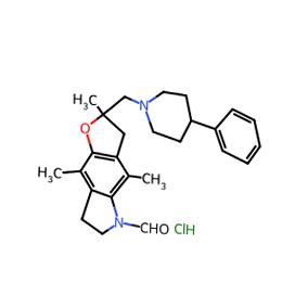 Cc1c2c(c(C)c3c1OC(C)(CN1CCC(c4ccccc4)CC1)C3)N(C=O)CC2.Cl